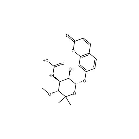 CO[C@@H]1[C@@H](NC(=O)O)[C@@H](O)[C@H](Oc2ccc3ccc(=O)oc3c2)OC1(C)C